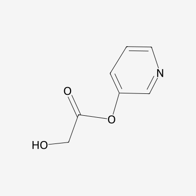 O=C(CO)Oc1cccnc1